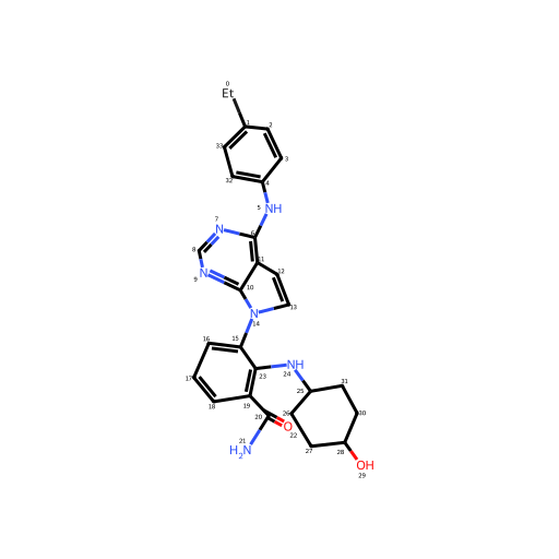 CCc1ccc(Nc2ncnc3c2ccn3-c2cccc(C(N)=O)c2NC2CCC(O)CC2)cc1